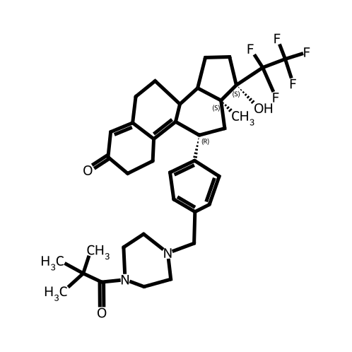 CC(C)(C)C(=O)N1CCN(Cc2ccc([C@H]3C[C@@]4(C)C(CC[C@@]4(O)C(F)(F)C(F)(F)F)C4CCC5=CC(=O)CCC5=C43)cc2)CC1